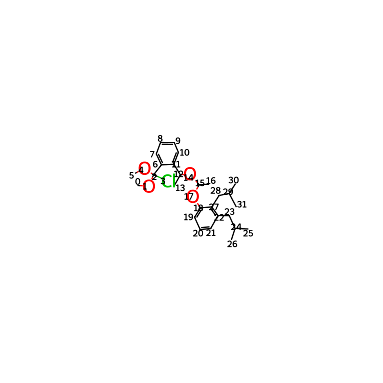 COC(Cl)(OC)c1ccccc1C(C)OC(C)Oc1cccc(CC(C)C)c1CC(C)C